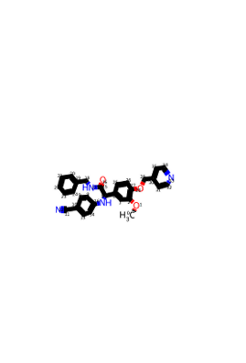 COc1cc(C(Nc2ccc(C#N)cc2)C(=O)NCc2ccccc2)ccc1OCc1ccncc1